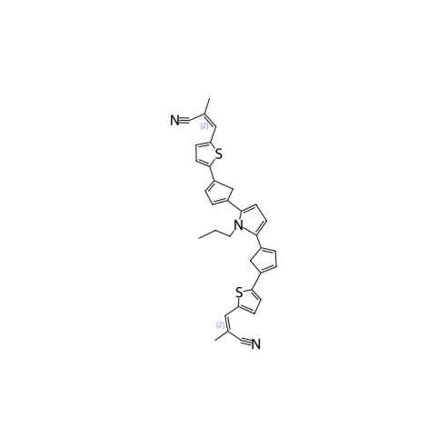 CCCn1c(C2=CC=C(c3ccc(/C=C(/C)C#N)s3)C2)ccc1C1=CC=C(c2ccc(/C=C(/C)C#N)s2)C1